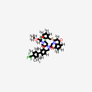 [2H]c1c([2H])c(F)c(F)c(CSc2c([2H])c(=O)c3c([2H])c([2H])c([2H])c([2H])c3n2CC(=O)N(Cc2c([2H])c([2H])c(-c3c([2H])c([2H])c(C(F)(F)F)c(C)c3[2H])c([2H])c2[2H])C2CCN(C([2H])([2H])COC([2H])([2H])[2H])CC2)c1[2H]